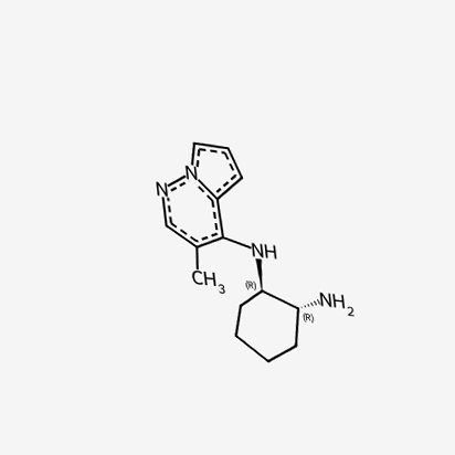 Cc1cnn2cccc2c1N[C@@H]1CCCC[C@H]1N